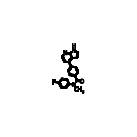 CN(C(=O)c1ccc(-c2ccnc3[nH]ccc23)cc1)c1ccc(F)cc1